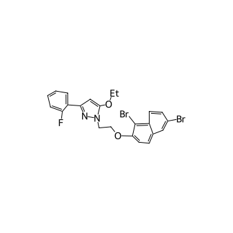 CCOc1cc(-c2ccccc2F)nn1CCOc1ccc2cc(Br)ccc2c1Br